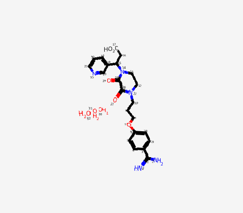 N=C(N)c1ccc(OCCCN2CCN(C(CC(=O)O)c3cccnc3)C(=O)C2=O)cc1.O.O.O